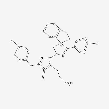 CCOC(=O)CCn1c(N2C[C@]3(CCc4ccccc43)C(c3ccc(Cl)cc3)=N2)nn(Cc2ccc(Cl)cc2)c1=O